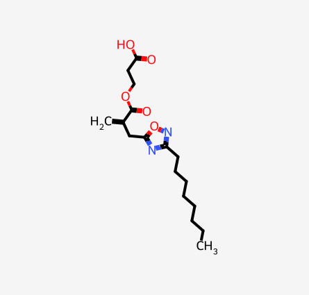 C=C(Cc1nc(CCCCCCCC)no1)C(=O)OCCC(=O)O